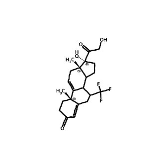 C[C@]12CCC(=O)C=C1CC(C(F)(F)F)C1C2=CC[C@@]2(C)C1CC[C@]2(O)C(=O)CO